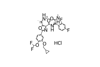 CNC(=O)[C@H](NC(=O)c1nc(-c2ccc(OC(F)F)c(OCC3CC3)c2)oc1[C@H](C)N)c1ccc(F)cc1F.Cl